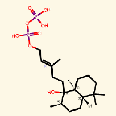 C/C(=C\COP(=O)(O)OP(=O)(O)O)CC[C@@]1(O)[C@H](C)CC[C@H]2C(C)(C)CCC[C@@]21C